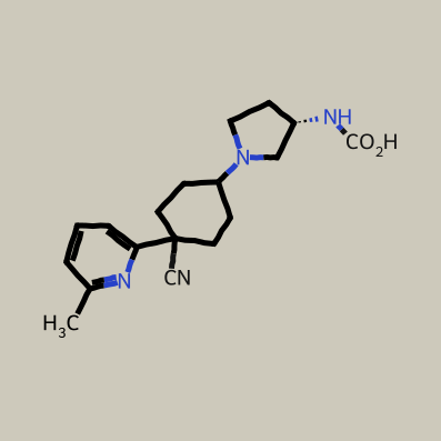 Cc1cccc(C2(C#N)CCC(N3CC[C@H](NC(=O)O)C3)CC2)n1